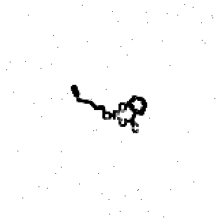 C#CCCCCOP1OC(=O)c2ccccc2O1